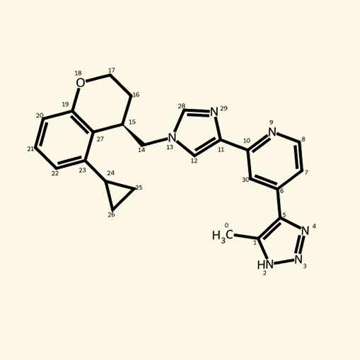 Cc1[nH]nnc1-c1ccnc(-c2cn(C[C@@H]3CCOc4cccc(C5CC5)c43)cn2)c1